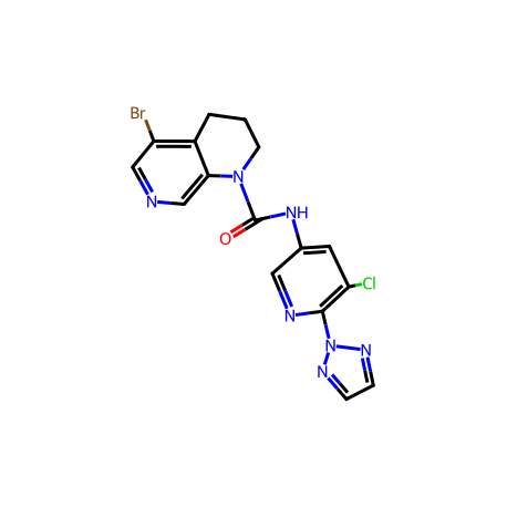 O=C(Nc1cnc(-n2nccn2)c(Cl)c1)N1CCCc2c(Br)cncc21